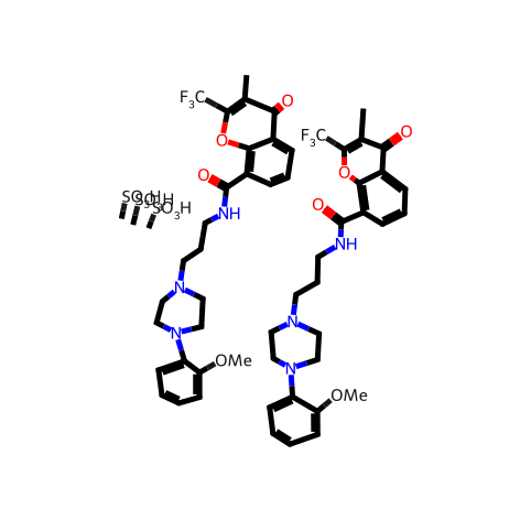 COc1ccccc1N1CCN(CCCNC(=O)c2cccc3c(=O)c(C)c(C(F)(F)F)oc23)CC1.COc1ccccc1N1CCN(CCCNC(=O)c2cccc3c(=O)c(C)c(C(F)(F)F)oc23)CC1.CS(=O)(=O)O.CS(=O)(=O)O.CS(=O)(=O)O